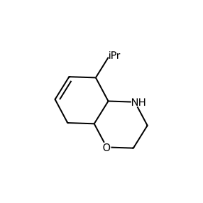 CC(C)C1C=CCC2OCCNC21